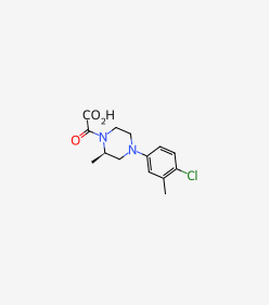 Cc1cc(N2CCN(C(=O)C(=O)O)[C@H](C)C2)ccc1Cl